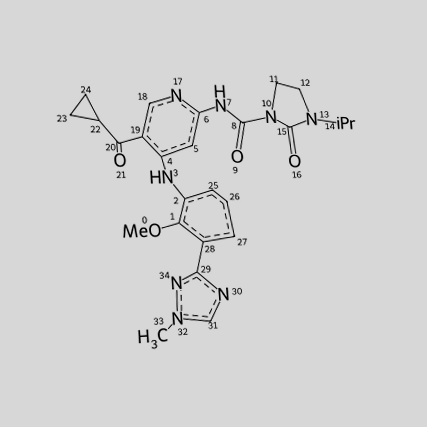 COc1c(Nc2cc(NC(=O)N3CCN(C(C)C)C3=O)ncc2C(=O)C2CC2)cccc1-c1ncn(C)n1